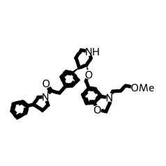 COCCCN1CCOc2ccc(CO[C@H]3CNCC[C@@H]3c3ccc(CC(=O)N4CCC(c5ccccc5)C4)cc3)cc21